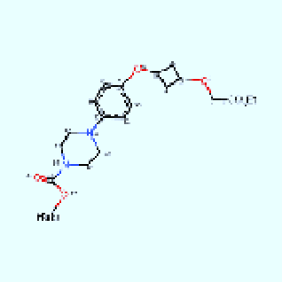 CCOC(=O)COC1CC(Oc2ccc(N3CCN(C(=O)OC(C)(C)C)CC3)cc2)C1